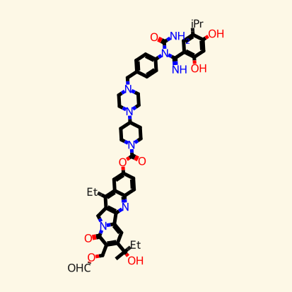 CCc1c2c(nc3ccc(OC(=O)N4CCC(N5CCN(Cc6ccc(N(C(=N)c7cc(C(C)C)c(O)cc7O)C(N)=O)cc6)CC5)CC4)cc13)-c1cc(C(C)(O)CC)c(COC=O)c(=O)n1C2